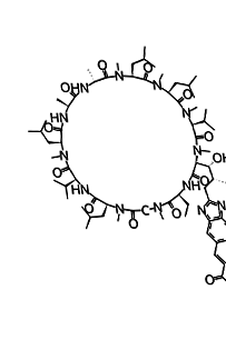 CC[C@@H]1NC(=O)[C@H]([C@H](O)[C@H](C)Cc2nc3cc(/C=C/C(=O)O)ccc3[nH]2)N(C)C(=O)[C@H](C(C)C)N(C)C(=O)[C@H](CC(C)C)N(C)C(=O)[C@H](CC(C)C)N(C)C(=O)[C@@H](C)NC(=O)[C@H](C)NC(=O)[C@H](CC(C)C)N(C)C(=O)[C@H](C(C)C)NC(=O)[C@H](CC(C)C)N(C)C(=O)CN(C)C1=O